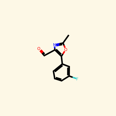 Cc1nc(C=O)c(-c2cccc(F)c2)o1